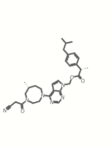 CC(C)Cc1ccc([C@H](C)C(=O)OCn2ccc3c(N4CC[C@@H](C)CN(C(=O)CC#N)CC4)ncnc32)cc1